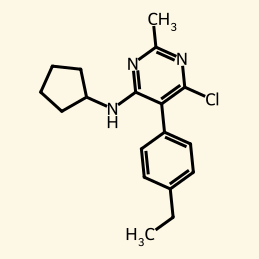 CCc1ccc(-c2c(Cl)nc(C)nc2NC2CCCC2)cc1